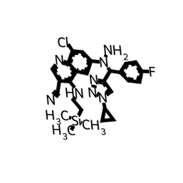 C[Si](C)(C)CCNc1c(C#N)cnc2c(Cl)cc(N(N)C(c3ccc(F)cc3)c3cn(C4CC4)nn3)cc12